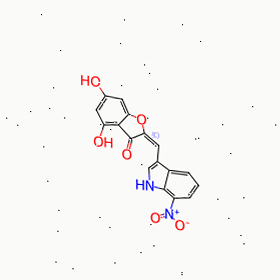 O=C1/C(=C\c2c[nH]c3c([N+](=O)[O-])cccc23)Oc2cc(O)cc(O)c21